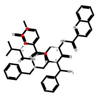 COC(=O)N[C@H](C(=O)NN(Cc1ccccc1)CC(OC(=O)c1ccccn1)[C@@H](C(=O)[C@H](CC(N)=O)NC(=O)c1ccc2ccccc2n1)C(N)c1ccccc1)C(C)C